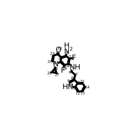 Nc1c(F)c(NCCc2c[nH]c3ccccc23)c(F)c2c1c(=O)ccn2C1CC1